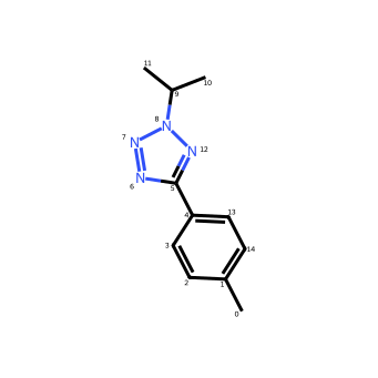 Cc1ccc(-c2nnn(C(C)C)n2)cc1